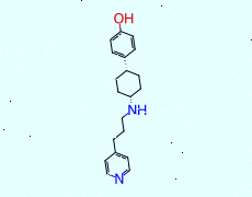 Oc1ccc([C@H]2CC[C@@H](NCCCc3ccncc3)CC2)cc1